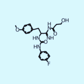 COc1ccc(CC(NC(=O)Nc2ccc(F)cc2)C(=N)NC(=O)CCO)cc1